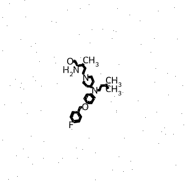 CC(C)CCN(c1ccc(OCc2ccc(F)cc2)cc1)C1CCN(CCC(C)C(N)C=O)CC1